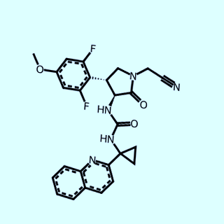 COc1cc(F)c([C@@H]2CN(CC#N)C(=O)[C@H]2NC(=O)NC2(c3ccc4ccccc4n3)CC2)c(F)c1